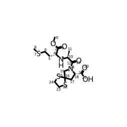 COC(=O)[C@@H](CCSC)N[C@@H](C)C(=O)N1CC2(C[C@H]1C(=O)O)SCCS2